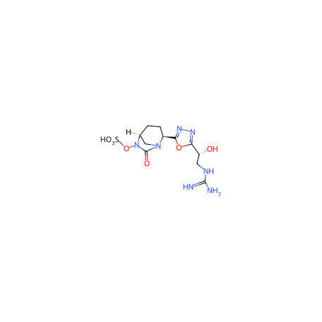 N=C(N)NC[C@@H](O)c1nnc([C@@H]2CC[C@H]3CN2C(=O)N3OS(=O)(=O)O)o1